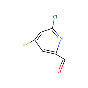 O=Cc1cc(F)cc(Cl)n1